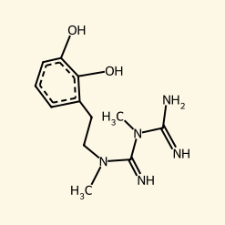 CN(CCc1cccc(O)c1O)C(=N)N(C)C(=N)N